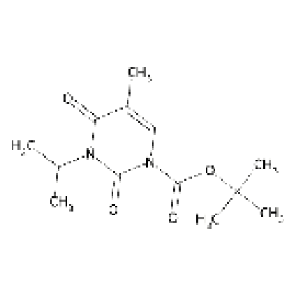 Cc1cn(C(=O)OC(C)(C)C)c(=O)n(C(C)C)c1=O